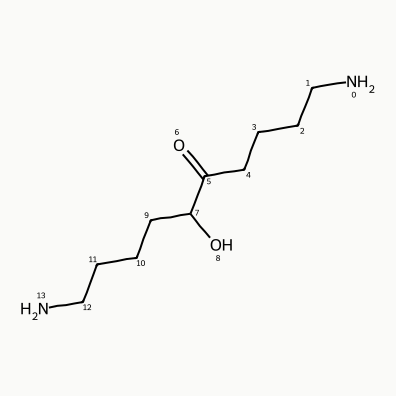 NCCCCC(=O)C(O)CCCCN